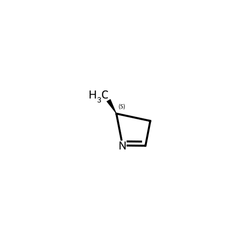 C[C@H]1CC=N1